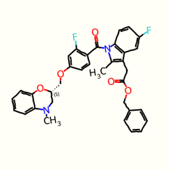 Cc1c(CC(=O)OCc2ccccc2)c2cc(F)ccc2n1C(=O)c1ccc(OC[C@@H]2CN(C)c3ccccc3O2)cc1F